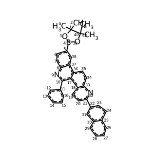 CC1(C)OB(c2ccc3nc(-c4ccccc4)c4c5ccc(-c6ccc7ccccc7c6)nc5ccc4c3c2)OC1(C)C